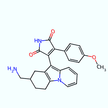 COc1ccc(C2=C(c3c4c(n5ccccc35)CCC(CN)C4)C(=O)NC2=O)cc1